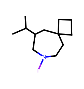 CC(C)C1CN(I)CCC2(CCC2)C1